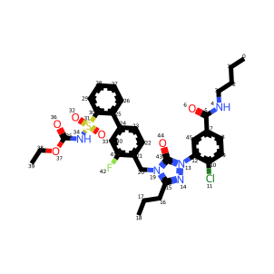 CCCCNC(=O)c1ccc(Cl)c(-n2nc(CCC)n(Cc3ccc(-c4ccccc4S(=O)(=O)NC(=O)OCC)cc3F)c2=O)c1